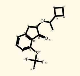 CC(OC1Cc2cccc(SC(F)(F)F)c2C1=O)C1CCC1